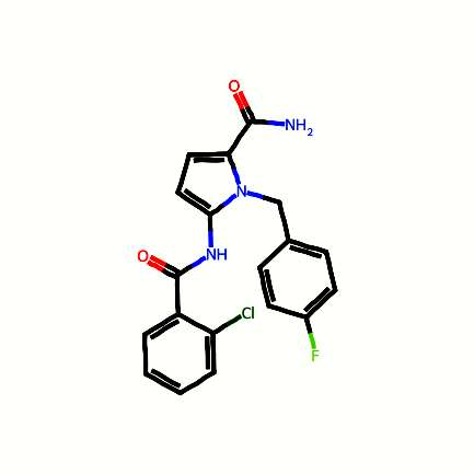 NC(=O)c1ccc(NC(=O)c2ccccc2Cl)n1Cc1ccc(F)cc1